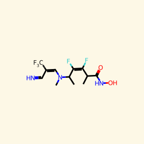 CC(C(=O)NO)/C(F)=C(/F)C(C)N(C)/C=C(\C=N)C(F)(F)F